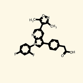 Cc1noc(C)c1-c1cnc2c(c1)c(-c1ccc(CC(=O)O)cc1)cn2-c1ccc(F)cc1F